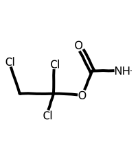 [NH]C(=O)OC(Cl)(Cl)CCl